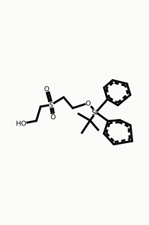 CC(C)(C)[Si](OCCS(=O)(=O)CCO)(c1ccccc1)c1ccccc1